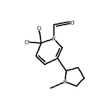 CN1CCCC1C1=CN(C=O)C(Cl)(Cl)C=C1